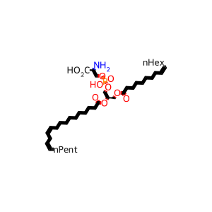 CCCCC/C=C\C/C=C\CCCCCCCCCC(=O)O[C@H](COC(=O)CCCCCCC/C=C\CCCCCC)COP(=O)(O)OC[C@H](N)C(=O)O